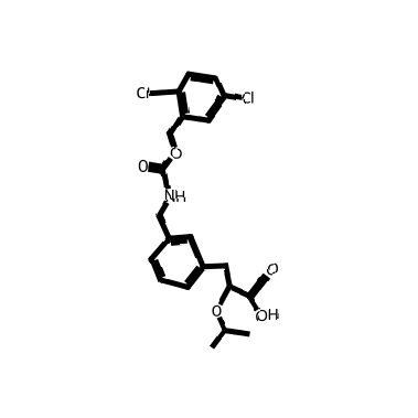 CC(C)OC(Cc1cccc(CNC(=O)OCc2cc(Cl)ccc2Cl)c1)C(=O)O